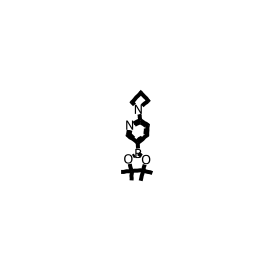 CC1(C)OB(c2ccc(N3CCC3)nc2)OC1(C)C